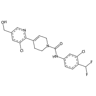 O=C(Nc1ccc(C(F)F)c(Cl)c1)N1CC=C(c2ncc(CO)cc2Cl)CC1